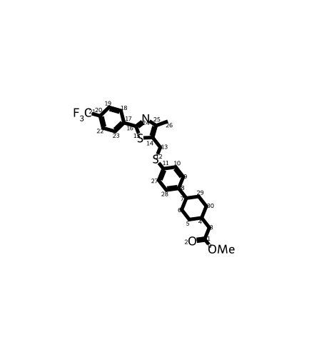 COC(=O)CC1CCC(c2ccc(SCc3sc(-c4ccc(C(F)(F)F)cc4)nc3C)cc2)CC1